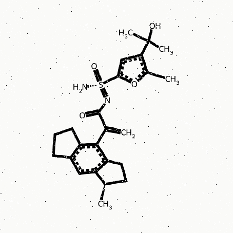 C=C(C(=O)N=[S@@](N)(=O)c1cc(C(C)(C)O)c(C)o1)c1c2c(cc3c1CC[C@H]3C)CCC2